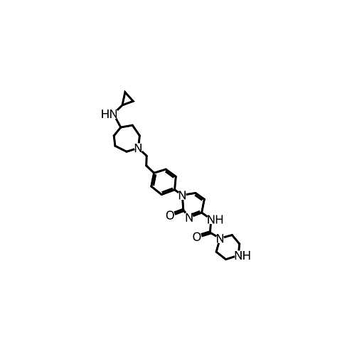 O=C(Nc1ccn(-c2ccc(CCN3CCCC(NC4CC4)CC3)cc2)c(=O)n1)N1CCNCC1